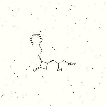 CCCCCCCCCCC[C@@H](O)C[C@H]1OC(=O)[C@H]1SCc1ccccc1